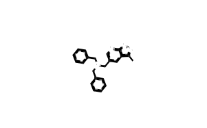 Cc1n[nH]c2ncc(CN(Cc3ccccc3)Cc3ccccc3)cc12